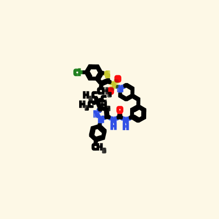 Cc1ccc(-n2nc(C(C)(C)C)cc2NC(=O)Nc2cccc(CC3CCN(S(=O)(=O)c4sc5ccc(Cl)cc5c4C)CC3)c2)cc1